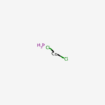 P.[Cl][Co][Cl]